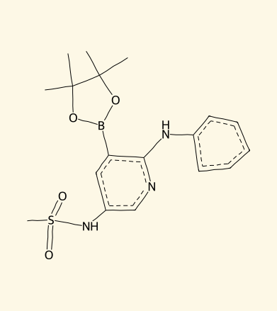 CC1(C)OB(c2cc(NS(C)(=O)=O)cnc2Nc2ccccc2)OC1(C)C